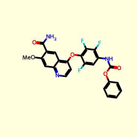 COc1cc2nccc(Oc3c(F)cc(NC(=O)Oc4ccccc4)c(F)c3F)c2cc1C(N)=O